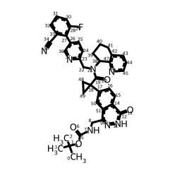 CC(C)(C)OC(=O)NCc1n[nH]c(=O)c2ccc(C3(C(=O)N(Cc4ccc(-c5c(F)cccc5C#N)cn4)C4CCCc5cccnc54)CC3)cc12